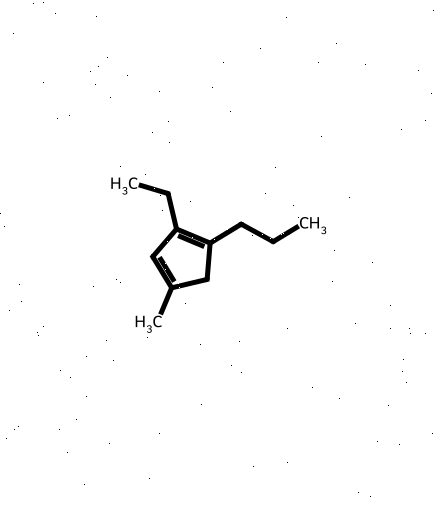 CCCC1=C(CC)C=C(C)C1